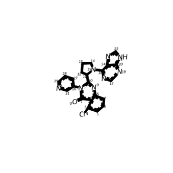 O=c1c2c(Cl)cccc2nc(C2CCCN2c2ncnc3[nH]cnc23)n1-c1cccnc1